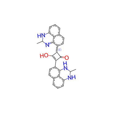 CC1N=c2/c(=C3/C(=O)C(c4ccc5cccc6c5c4NC(C)N6)=C3O)ccc3cccc(c23)N1